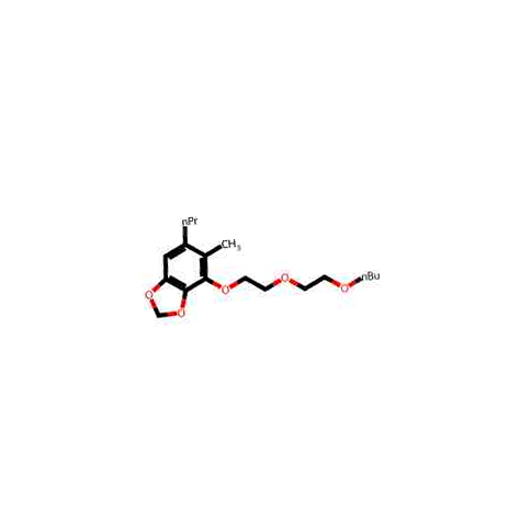 CCCCOCCOCCOc1c(C)c(CCC)cc2c1OCO2